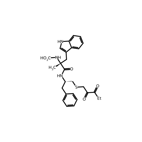 CCC(=O)C(=O)CSC[C@H](Cc1ccccc1)NC(=O)[C@@](C)(Cc1c[nH]c2ccccc12)NC(=O)O